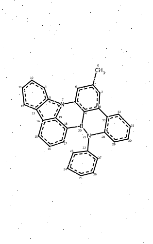 Cc1cc2c3c(c1)-n1c4ccccc4c4cccc(c41)B3N(c1ccccc1)c1ccccc1-2